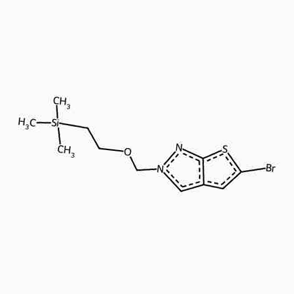 C[Si](C)(C)CCOCn1cc2cc(Br)sc2n1